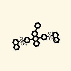 C[Si](C)(c1ccc(-c2c3ccccc3c(-c3ccc([Si](C)(C)c4cccc5ccccc45)cc3)c3cc(-c4ccccc4)ccc23)cc1)c1cccc2ccccc12